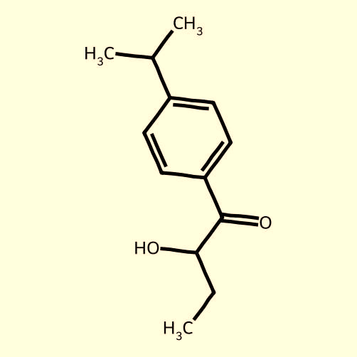 CCC(O)C(=O)c1ccc(C(C)C)cc1